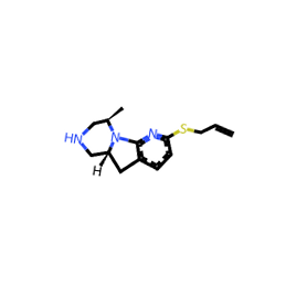 C=CCSc1ccc2c(n1)N1[C@@H](CNC[C@H]1C)C2